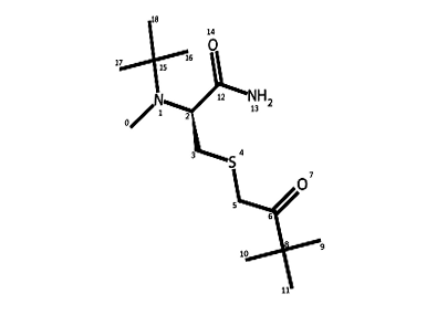 CN([C@H](CSCC(=O)C(C)(C)C)C(N)=O)C(C)(C)C